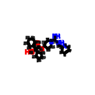 N=C(NCc1ccccn1)N1CCC(OC(=O)[C@](O)(c2ccccc2)C2CCCC2)CC1